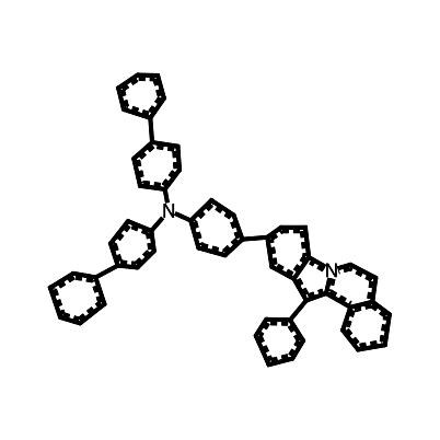 c1ccc(-c2ccc(N(c3ccc(-c4ccccc4)cc3)c3ccc(-c4ccc5c(c4)c(-c4ccccc4)c4c6ccccc6ccn54)cc3)cc2)cc1